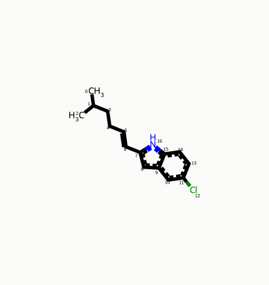 CC(C)CCC=Cc1cc2cc(Cl)ccc2[nH]1